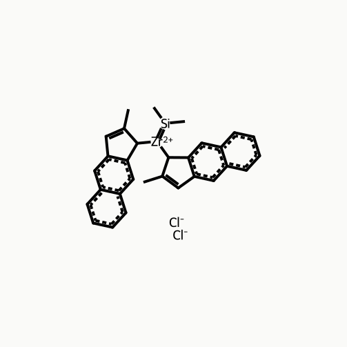 CC1=Cc2cc3ccccc3cc2[CH]1[Zr+2]([CH]1C(C)=Cc2cc3ccccc3cc21)=[Si](C)C.[Cl-].[Cl-]